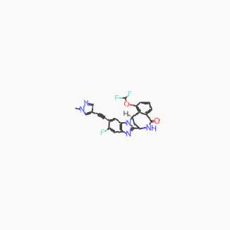 Cn1cc(C#Cc2cc3c(cc2F)nc2n3[C@@H]3CC2NC(=O)c2cccc(OC(F)F)c23)cn1